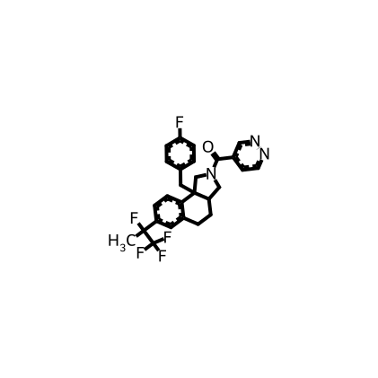 CC(F)(c1ccc2c(c1)CCC1CN(C(=O)c3ccnnc3)CC21Cc1ccc(F)cc1)C(F)(F)F